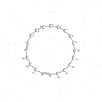 C1=CCCCCCCCCCCCCCC=CCCC1